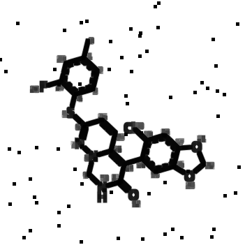 Cc1ccc(SC2=NN3CNC(=O)C(c4cc5c(cc4Cl)OCO5)=C3C=C2)c(F)c1